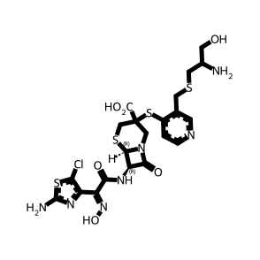 Nc1nc(C(=NO)C(=O)N[C@@H]2C(=O)N3CC(Sc4ccncc4CSCC(N)CO)(C(=O)O)CS[C@H]23)c(Cl)s1